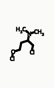 CN(C)C(CCl)CCOCl